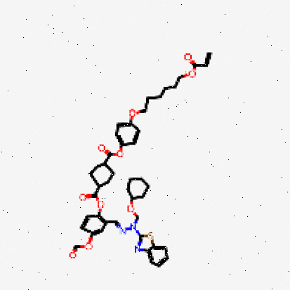 C=CC(=O)OCCCCCCOc1ccc(OC(=O)C2CCC(C(=O)Oc3ccc(OC=O)cc3/C=N/N(COC3CCCCC3)c3nc4ccccc4s3)CC2)cc1